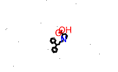 O=C(O)C1CCCN(CCCC(c2ccccc2)c2ccccc2)C1